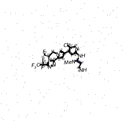 CN/C(=C\C=N)Nc1cc(-c2cc3n(c2)C[C@H](CF)n2c-3nnc2C(F)(F)C(F)(F)F)c(Cl)cn1